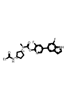 CCC(=O)N[C@H]1CC[C@@H](N(C)C(=O)Oc2ncc(-c3cc(F)c4[nH]ccc4c3)cc2F)C1